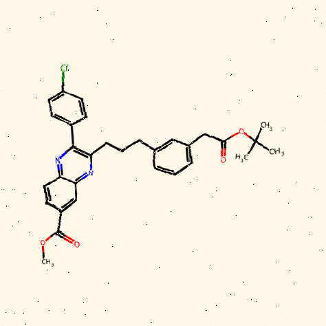 COC(=O)c1ccc2nc(-c3ccc(Cl)cc3)c(CCCc3cccc(CC(=O)OC(C)(C)C)c3)nc2c1